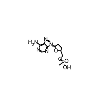 CP(=O)(O)OCC1CC[C@H](n2cnc3c(N)ncnc32)O1